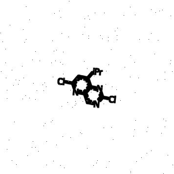 CC(C)c1cc(Cl)nc2cnc(Cl)nc12